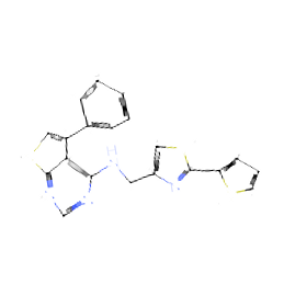 c1ccc(-c2csc3ncnc(NCc4csc(-c5cccs5)n4)c23)cc1